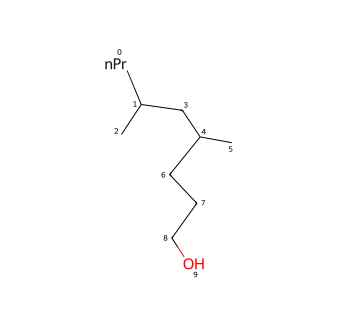 CCCC(C)CC(C)CCCO